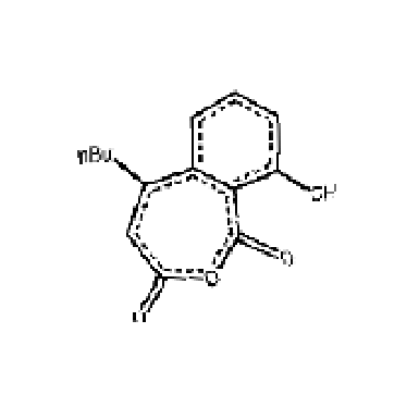 CCCCc1cc(=O)oc(=O)c2c(O)cccc12